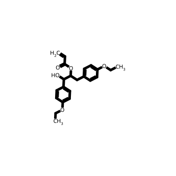 C=CC(=O)OC(Cc1ccc(OCC)cc1)C(O)c1ccc(OCC)cc1